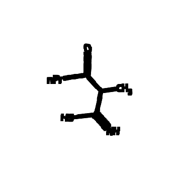 CCCC(=O)C(C)C(=N)S